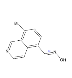 O/N=C/c1ccc(Br)c2cnccc12